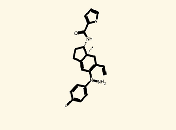 C=CC1=C(N(N)c2ccc(F)cc2)C=C2CC[C@H](NC(=O)c3cccs3)[C@@]2(C)C1